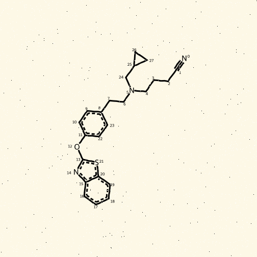 N#CCCCN(CCc1ccc(Oc2nc3ccccc3s2)cc1)CC1CC1